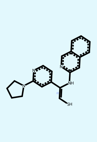 S/C=C(\Nc1cc2ccccc2cn1)c1ccnc(N2CCCC2)c1